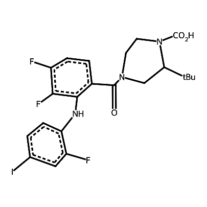 CC(C)(C)C1CN(C(=O)c2ccc(F)c(F)c2Nc2ccc(I)cc2F)CCN1C(=O)O